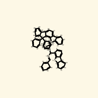 C(=N\C(c1cccc2c1sc1ccccc12)N1NC1n1c2ccccc2c2ccc3c(c21)C(c1ccccc1)(c1ccccc1)c1ccccc1-3)/c1ccccc1